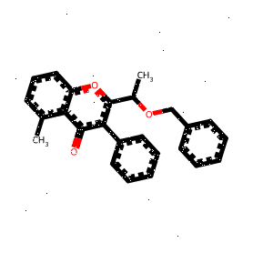 Cc1cccc2oc(C(C)OCc3ccccc3)c(-c3ccccc3)c(=O)c12